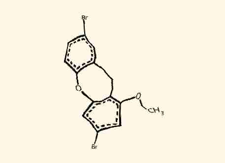 COc1cc(Br)cc2c1Cc1cc(Br)ccc1O2